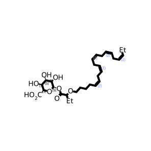 CC/C=C\C/C=C\C/C=C\C/C=C\C/C=C\CCCCOC(CC)C(=O)O[C@@H]1O[C@H](C(=O)O)[C@@H](O)[C@H](O)[C@H]1O